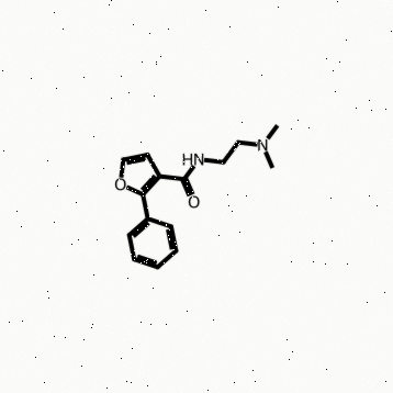 CN(C)CCNC(=O)c1ccoc1-c1ccccc1